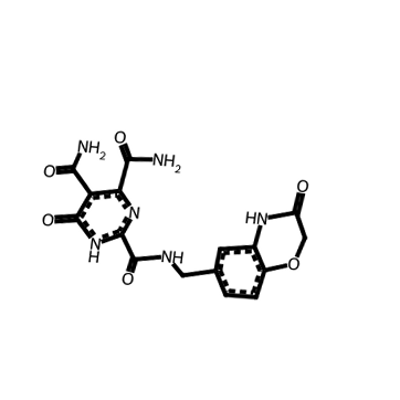 NC(=O)c1nc(C(=O)NCc2ccc3c(c2)NC(=O)CO3)[nH]c(=O)c1C(N)=O